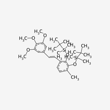 COc1cc(C=Cc2ccc(C)c(O[Si](C)(C)C(C)(C)C)c2O[Si](C)(C)C(C)(C)C)cc(OC)c1OC